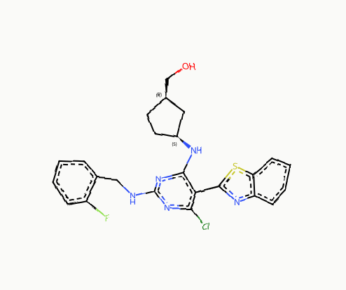 OC[C@@H]1CC[C@H](Nc2nc(NCc3ccccc3F)nc(Cl)c2-c2nc3ccccc3s2)C1